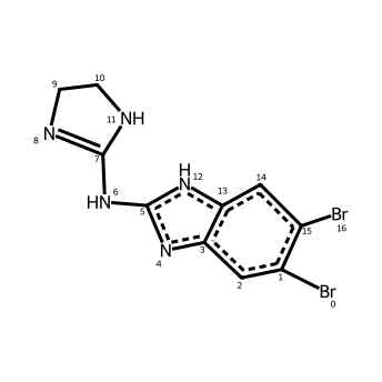 Brc1cc2nc(NC3=NCCN3)[nH]c2cc1Br